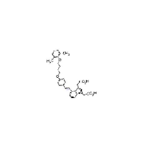 Cc1cccc(C)c1OCCCCOc1ccc(/C=C/c2cccc3c2c(CC(=O)O)cn3CC(=O)O)cc1